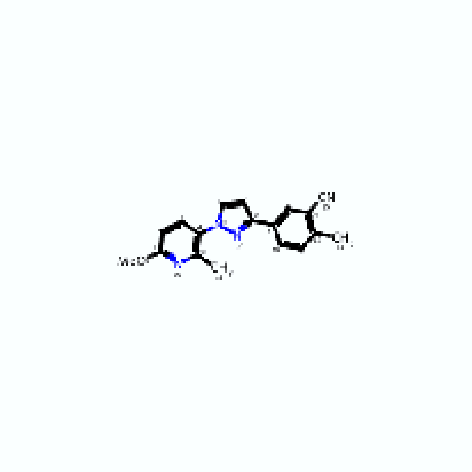 COc1ccc(-n2ccc(-c3ccc(C)c(C#N)c3)n2)c(C)n1